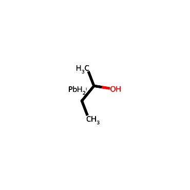 CCC(C)O.[PbH2]